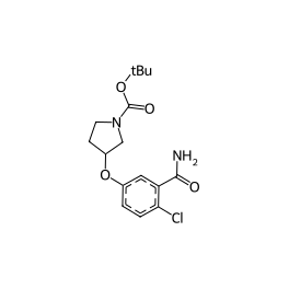 CC(C)(C)OC(=O)N1CCC(Oc2ccc(Cl)c(C(N)=O)c2)C1